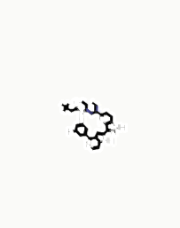 C=C/C(=C\C(=C/C)c1ccc2[nH]nc(-c3cc4c(-c5cccc(F)c5)nccc4[nH]3)c2n1)NC(=O)CC(C)(C)C